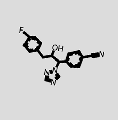 N#Cc1ccc(C(C(O)Cc2ccc(F)cc2)n2cncn2)cc1